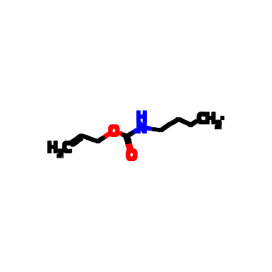 [CH2]CCCNC(=O)OCC=C